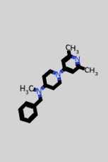 Cc1cc(N2CCC(N(C)Cc3ccccc3)CC2)cc(C)n1